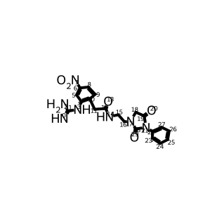 N=C(N)Nc1cc([N+](=O)[O-])ccc1CC(=O)NCCN1CC(=O)N(c2[c]cccc2)C1=O